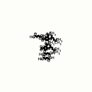 CN(C)CCC1CN(C)C(=O)c2cc([N+](=O)[O-])ccc2O1.CN(C)CCC1CN(C)C(=O)c2cc([N+](=O)[O-])ccc2O1.O=C(O)C=CC(=O)O.O=C(O)C=CC(=O)O.O=C(O)C=CC(=O)O